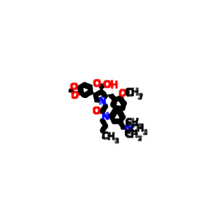 CCCCN(C(=O)CN1C[C@H](c2ccc3c(c2)OCO3)[C@@H](C(=O)O)[C@@H]1Cc1ccccc1OC)c1cccc(C[N+](C)(C)C)c1